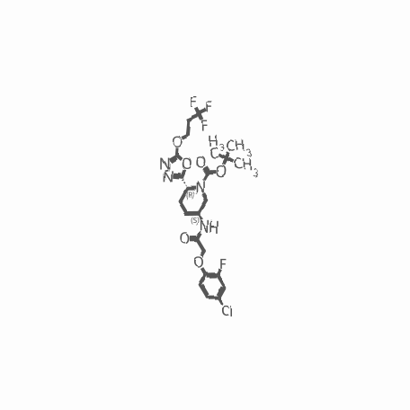 CC(C)(C)OC(=O)N1C[C@@H](NC(=O)COc2ccc(Cl)cc2F)CC[C@@H]1c1nnc(OCCC(F)(F)F)o1